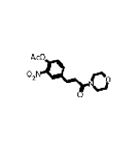 CC(=O)Oc1ccc(/C=C/C(=O)N2CCOCC2)cc1[N+](=O)[O-]